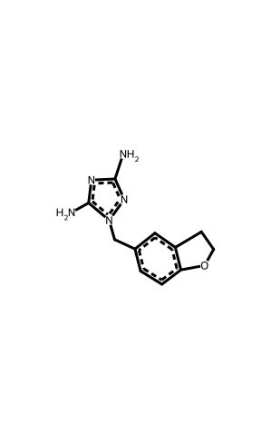 Nc1nc(N)n(Cc2ccc3c(c2)CCO3)n1